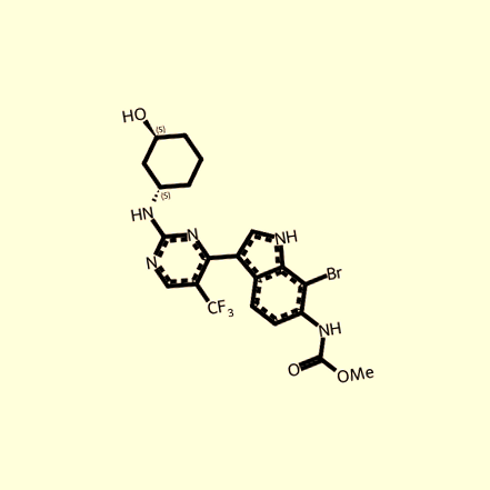 COC(=O)Nc1ccc2c(-c3nc(N[C@H]4CCC[C@H](O)C4)ncc3C(F)(F)F)c[nH]c2c1Br